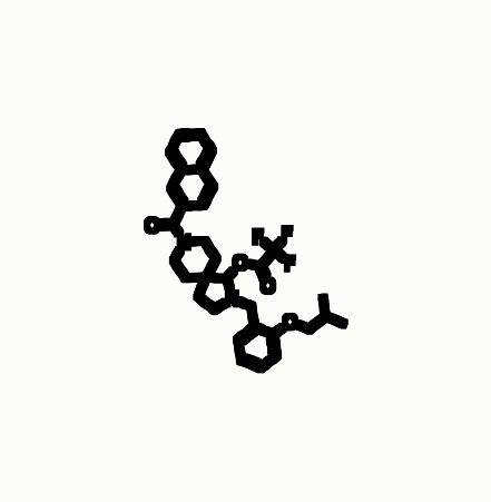 CC(C)COc1ccccc1CN1CCC2(CCN(C(=O)c3ccc4ccccc4c3)CC2)C1OC(=O)C(F)(F)F